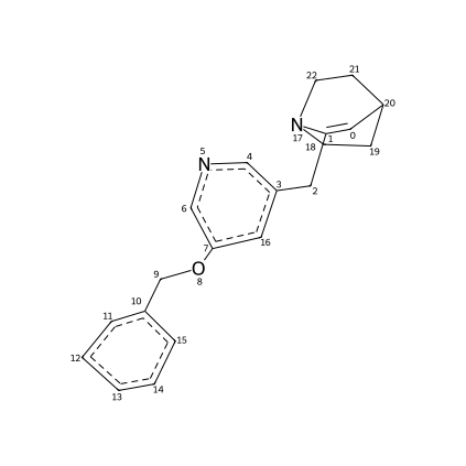 C1=C(Cc2cncc(OCc3ccccc3)c2)N2CCC1CC2